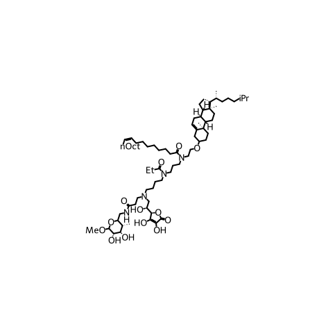 CCCCCCCC/C=C\CCCCCCCC(=O)N(CCCN(CCCCN(CCC(=O)NCC1OC(OC)[C@@H](O)[C@@H](O)[C@H]1C)C[C@H](O)[C@H]1OC(=O)C(O)=C1O)C(=O)CC)CCOC1CC[C@@]2(C)C(=CC[C@H]3[C@@H]4CC[C@H]([C@H](C)CCCC(C)C)[C@@]4(C)CC[C@@H]32)C1